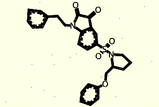 O=C1C(=O)N(CCc2ccccc2)c2ccc(S(=O)(=O)N3CCCC3COc3ccccc3)cc21